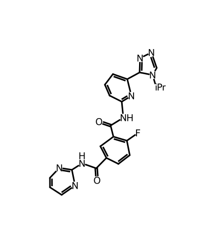 CC(C)n1cnnc1-c1cccc(NC(=O)c2cc(C(=O)Nc3ncccn3)ccc2F)n1